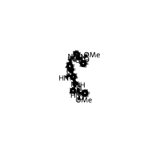 COC(=O)N[C@@H](C(=O)N1CCC[C@H]1c1nc(-c2ccc(-c3cc4cc(-c5cnc([C@@H]6CCCN6C(=O)[C@H](NC(=O)OC)c6ccccc6)[nH]5)ccc4o3)c(C=N)c2)c[nH]1)c1ccccc1